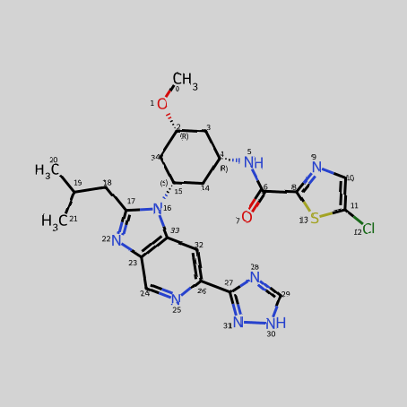 CO[C@@H]1C[C@H](NC(=O)c2ncc(Cl)s2)C[C@H](n2c(CC(C)C)nc3cnc(-c4nc[nH]n4)cc32)C1